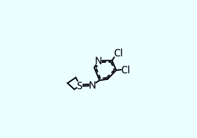 Clc1cc(N=S2CCC2)cnc1Cl